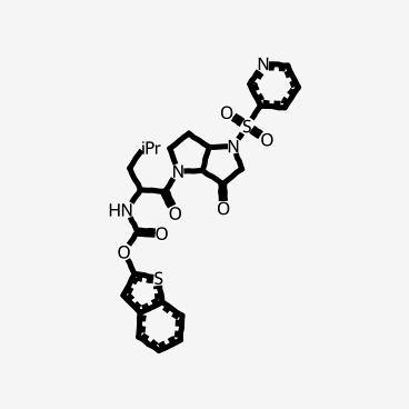 CC(C)CC(NC(=O)Oc1cc2ccccc2s1)C(=O)N1CCC2C1C(=O)CN2S(=O)(=O)c1cccnc1